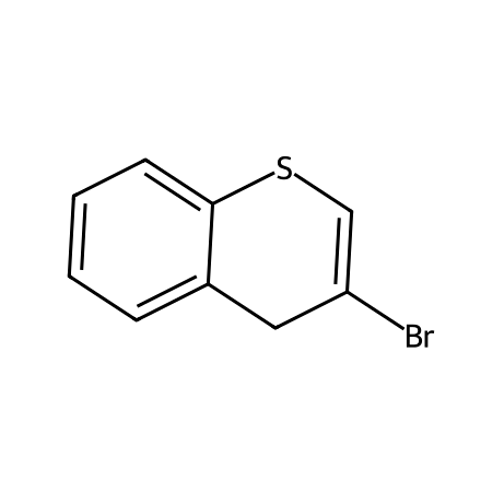 BrC1=CSc2ccccc2C1